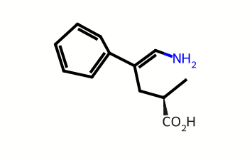 C[C@H](CC(=CN)c1ccccc1)C(=O)O